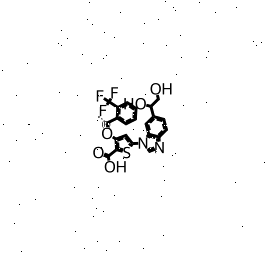 C[C@@H](Oc1cc(-n2cnc3ccc(C(O)CO)cc32)sc1C(=O)O)c1ccccc1C(F)(F)F